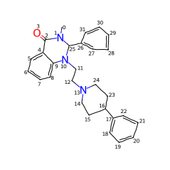 CN1C(=O)c2ccccc2N(CCN2CCC(c3ccccc3)CC2)C1c1ccccc1